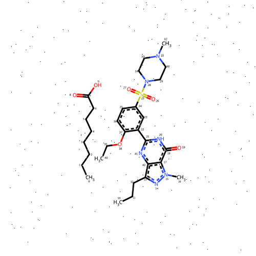 CCCCCCCC(=O)O.CCCc1nn(C)c2c(=O)[nH]c(-c3cc(S(=O)(=O)N4CCN(C)CC4)ccc3OCC)nc12